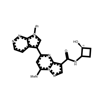 CNc1cc(-c2cn(C(C)C)c3nnccc23)nc2c(C(=O)NC3CC[C@@H]3O)cnn12